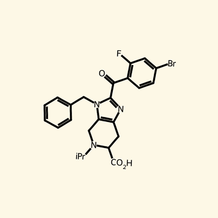 CC(C)N1Cc2c(nc(C(=O)c3ccc(Br)cc3F)n2Cc2ccccc2)CC1C(=O)O